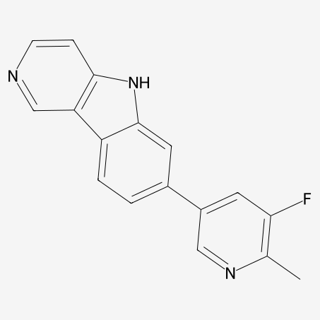 Cc1ncc(-c2ccc3c(c2)[nH]c2ccncc23)cc1F